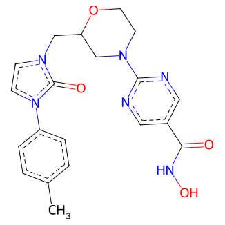 Cc1ccc(-n2ccn(CC3CN(c4ncc(C(=O)NO)cn4)CCO3)c2=O)cc1